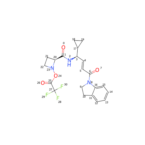 O=C(N[C@H](/C=C/C(=O)N1CCc2ccccc21)C1CC1)[C@@H]1CCN1OC(=O)C(F)(F)F